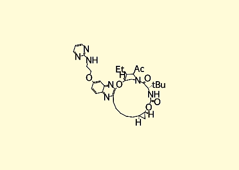 CC[C@@H]1[C@@H]2CN(C(=O)[C@H](C(C)(C)C)NC(=O)O[C@@H]3C[C@H]3CCCCCc3nc4ccc(OCCNc5ncccn5)cc4nc3O2)[C@@H]1C(C)=O